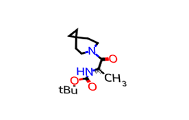 C[C@@H](NC(=O)OC(C)(C)C)C(=O)N1CCC2(CC1)CC2